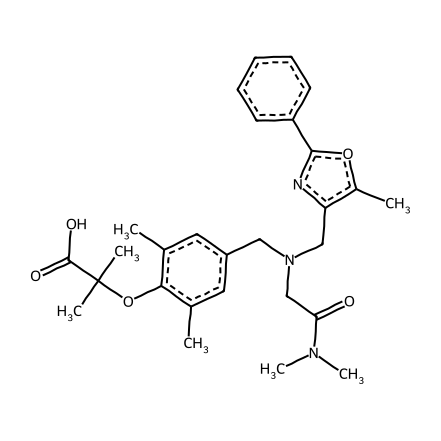 Cc1cc(CN(CC(=O)N(C)C)Cc2nc(-c3ccccc3)oc2C)cc(C)c1OC(C)(C)C(=O)O